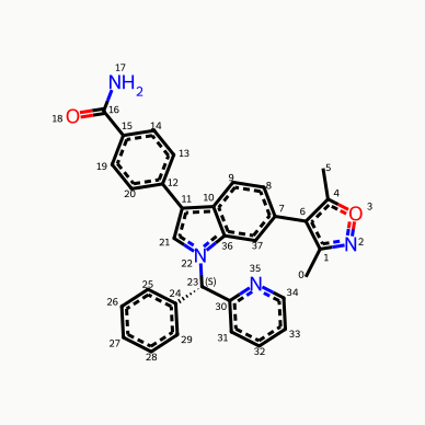 Cc1noc(C)c1-c1ccc2c(-c3ccc(C(N)=O)cc3)cn([C@@H](c3ccccc3)c3ccccn3)c2c1